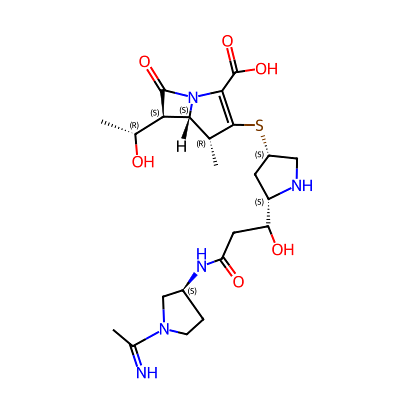 CC(=N)N1CC[C@H](NC(=O)CC(O)[C@@H]2C[C@H](SC3=C(C(=O)O)N4C(=O)[C@H]([C@@H](C)O)[C@H]4[C@H]3C)CN2)C1